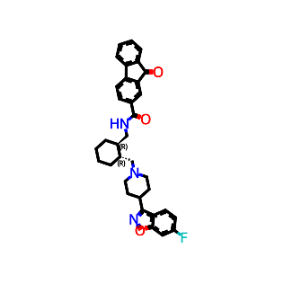 O=C(NC[C@@H]1CCCC[C@H]1CN1CCC(c2noc3cc(F)ccc23)CC1)c1ccc2c(c1)C(=O)c1ccccc1-2